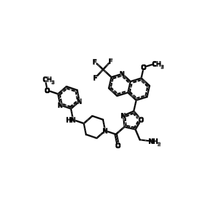 COc1ccnc(NC2CCN(C(=O)c3nc(-c4ccc(OC)c5nc(C(F)(F)F)ccc45)oc3CN)CC2)n1